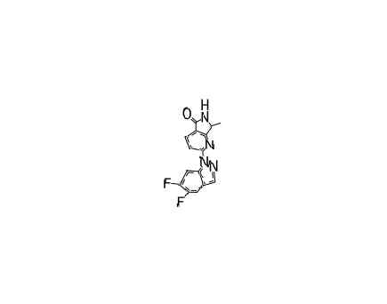 CC1NC(=O)c2ccc(-n3ncc4cc(F)c(F)cc43)nc21